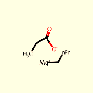 CCC(=O)[O-].CCC[CH2][Mg+]